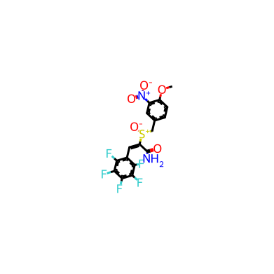 COc1ccc(C[S+]([O-])C(=Cc2c(F)c(F)c(F)c(F)c2F)C(N)=O)cc1[N+](=O)[O-]